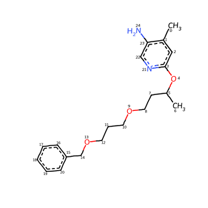 Cc1cc(OC(C)CCOCCCOCc2ccccc2)ncc1N